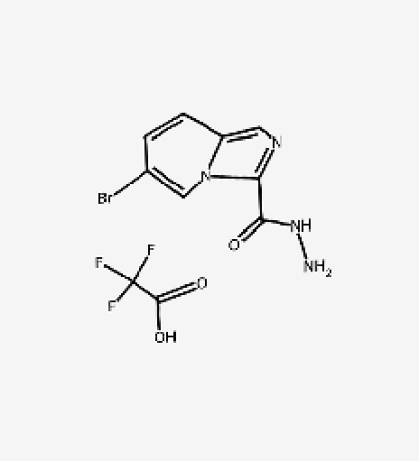 NNC(=O)c1ncc2ccc(Br)cn12.O=C(O)C(F)(F)F